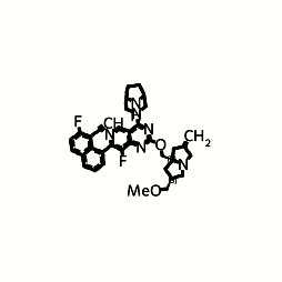 C#Cc1c(F)ccc2cccc(-c3ncc4c(N5CC6CCC(C5)N6)nc(OC[C@@]56CC(=C)CN5C[C@@H](COC)C6)nc4c3F)c12